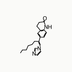 CCCCCCC(=Cn1ccnc1)c1ccc2c(c1)CCC(=O)N2